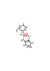 Cc1ccccc1CC(=O)Cc1ccccc1C